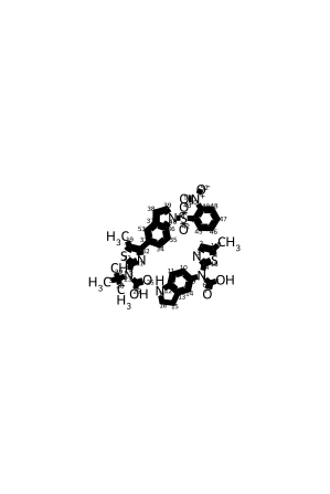 Cc1cnc(N(C(=O)O)c2ccc3c(c2)CCN3)s1.Cc1sc(N(C(=O)O)C(C)(C)C)nc1-c1ccc2c(ccn2S(=O)(=O)c2ccccc2[N+](=O)[O-])c1